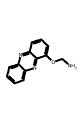 NCOc1cccc2nc3ccccc3nc12